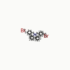 BrCc1ccc(C/C(=C(\Cc2ccc(CBr)cc2)c2ccccc2)c2ccccc2)cc1